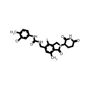 Cc1ccc(NC(=O)NCc2cc(C)c3c(c2I)CN(C2CCC(=O)NC2=O)C3=O)cc1Cl